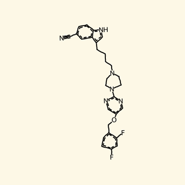 N#Cc1ccc2[nH]cc(CCCCN3CCN(c4ncc(OCc5ccc(F)cc5F)cn4)CC3)c2c1